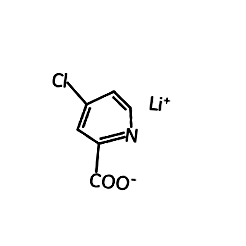 O=C([O-])c1cc(Cl)ccn1.[Li+]